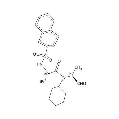 CC(C)[C@H](NS(=O)(=O)c1ccc2ccccc2c1)C(=O)N(C1CCCCC1)[C@@H](C)C=O